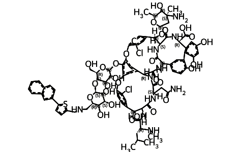 CN[C@H](CC(C)C)C(=O)NC1C(=O)N[C@@H](CC(N)=O)C(=O)N[C@H]2C(=O)N[C@H]3C(=O)N[C@H](C(=O)N[C@@H](C(=O)O)c4cc(O)cc(O)c4-c4cc3ccc4O)[C@H](O[C@H]3C[C@](C)(N)[C@@H](O)[C@H](C)O3)c3ccc(c(Cl)c3)Oc3cc2cc(c3O[C@@H]2O[C@H](CO)[C@@H](O[C@@H]3O[C@H](CNCc4ccc(-c5ccc6ccccc6c5)s4)[C@H](O)[C@H](O)[C@H]3O)[C@H](O)[C@H]2O)Oc2ccc(cc2Cl)[C@H]1O